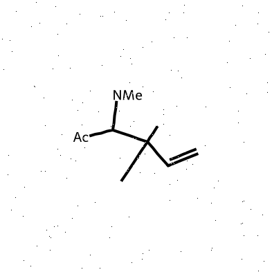 C=CC(C)(C)C(NC)C(C)=O